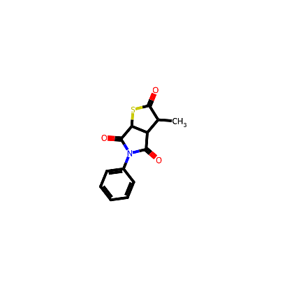 CC1C(=O)SC2C(=O)N(c3ccccc3)C(=O)C12